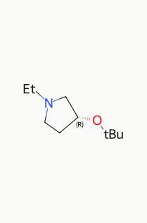 CCN1CC[C@@H](OC(C)(C)C)C1